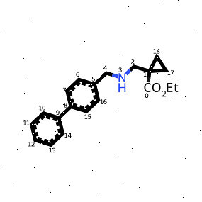 CCOC(=O)C1(CNCc2ccc(-c3ccccc3)cc2)CC1